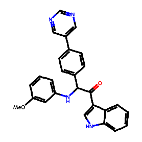 COc1cccc(NC(C(=O)c2c[nH]c3ccccc23)c2ccc(-c3cncnc3)cc2)c1